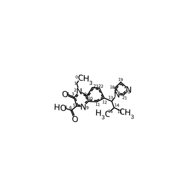 CCn1c(=O)c(C(=O)O)nc2cc(C(C(C)C)n3ccnc3)ccc21